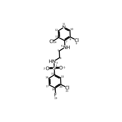 O=S(=O)(NCCNc1c(Cl)cncc1Cl)c1ccc(F)c(Cl)c1